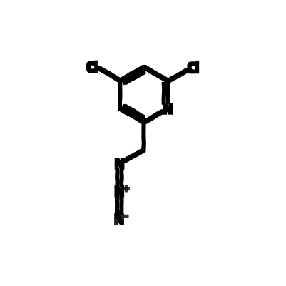 [N-]=[N+]=NCc1cc(Cl)cc(Cl)n1